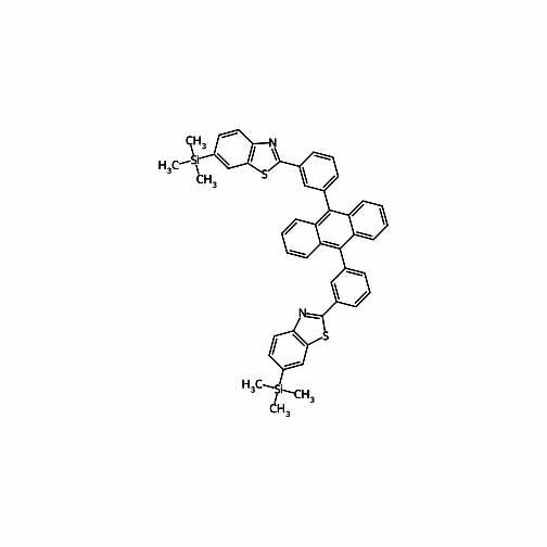 C[Si](C)(C)c1ccc2nc(-c3cccc(-c4c5ccccc5c(-c5cccc(-c6nc7ccc([Si](C)(C)C)cc7s6)c5)c5ccccc45)c3)sc2c1